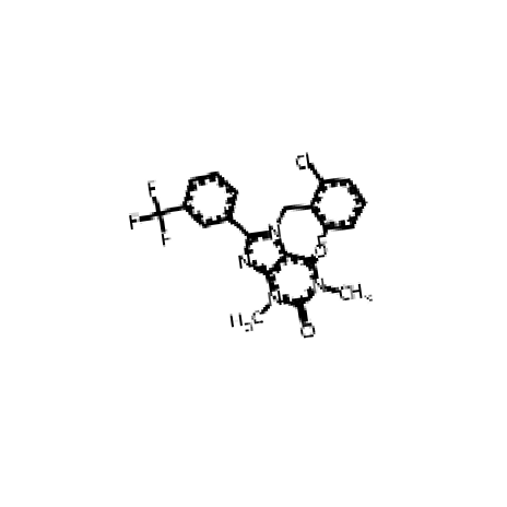 Cn1c(=O)c2c(nc(-c3cccc(C(F)(F)F)c3)n2Cc2c(F)cccc2Cl)n(C)c1=O